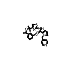 CC(OC(C)(C)c1csc(NC(=O)c2cccn2Cc2ccncc2)n1)c1cccc(Cl)c1